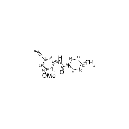 [C]#Cc1cc(NC(=O)N2CCC(C)CC2)cc(OC)c1